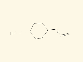 O=S=N[C@H]1CC[C@H](C(=O)O)CC1